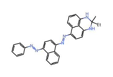 CCC1(C)Nc2cccc3c(N=Nc4ccc(N=Nc5ccccc5)c5ccccc45)ccc(c23)N1